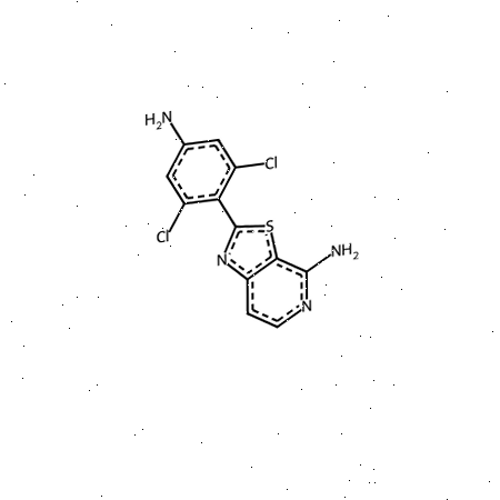 Nc1cc(Cl)c(-c2nc3ccnc(N)c3s2)c(Cl)c1